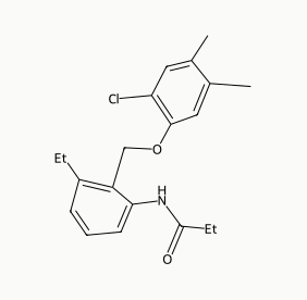 CCC(=O)Nc1cccc(CC)c1COc1cc(C)c(C)cc1Cl